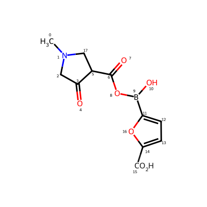 CN1CC(=O)C(C(=O)OB(O)c2ccc(C(=O)O)o2)C1